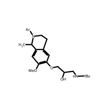 COc1cc2c(cc1OCC(O)CNC(C)(C)C)CCN(C(C)=O)C2C